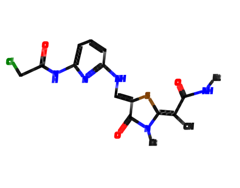 CCNC(=O)C(C#N)=c1sc(=CNc2cccc(NC(=O)CCl)n2)c(=O)n1CC